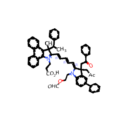 CC(=O)CC1(CC(=O)c2ccccc2)/C(=C/C=C/C=C/C2=[N+](CCC(=O)O)c3c(c4ccccc4c4ccccc34)C2(C)C(C)c2ccccc2)N(CCOC=O)c2ccc(-c3ccccc3)cc21